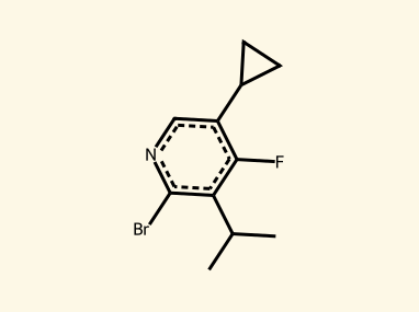 CC(C)c1c(Br)ncc(C2CC2)c1F